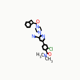 CN(C)C(=O)c1ccc(-c2cnc(N3CCN(C(=O)C4Cc5ccccc54)CC3)c(C#N)c2)cc1Cl